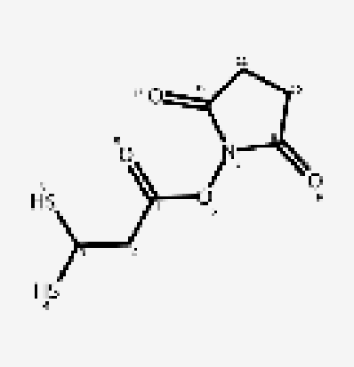 O=C(CC(S)S)ON1C(=O)CCC1=O